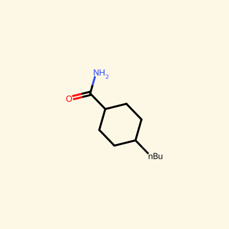 CCCCC1CCC(C(N)=O)CC1